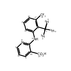 [2H]C([2H])([2H])c1c(Nc2ncccc2C(=O)O)cccc1C(F)(F)F